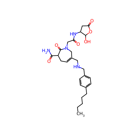 CCCCCc1ccc(CNCC2=CCC(C(N)=O)C(=O)N(CC(=O)NC3CC(=O)OC3O)C2)cc1